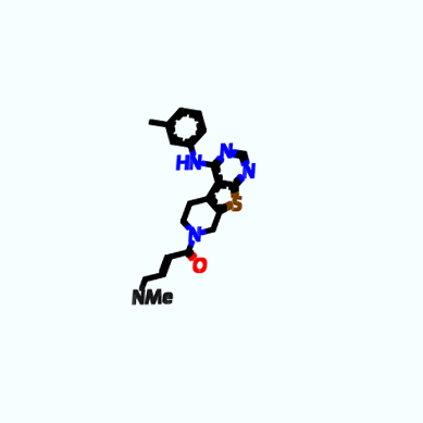 CNC/C=C/C(=O)N1CCc2c(sc3ncnc(Nc4cccc(C)c4)c23)C1